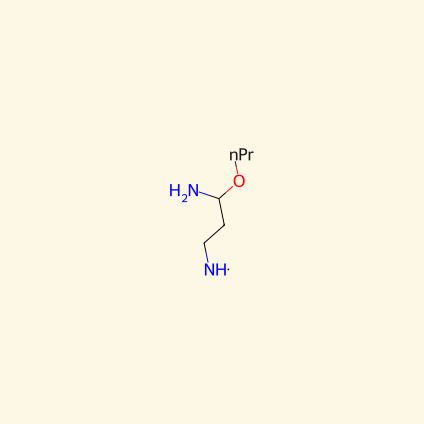 CCCOC(N)CC[NH]